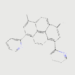 Cc1cc(-c2ccccn2)c2ccc3c(-c4ccccn4)cc(C)c4ccc1c2c43